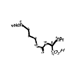 CCCCCCCCCCCCSC(=S)SC(CCC)C(=O)O